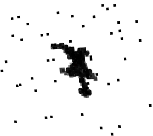 COCOc1ccc(C(=O)Nc2ccc3nc(C(=O)N4CCc5c4cc(OC(=O)N(CCOCCOCCN4C(=O)C=CC4=O)CCN(C)C(=O)OCc4ccc(NC(=O)CNC(=O)C(C(C)C)N(C)C)cc4)c4cccc(C)c54)cn3c2)cc1